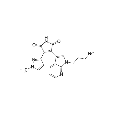 [C-]#[N+]CCCn1cc(C2=C(c3ccn(C)n3)C(=O)NC2=O)c2cccnc21